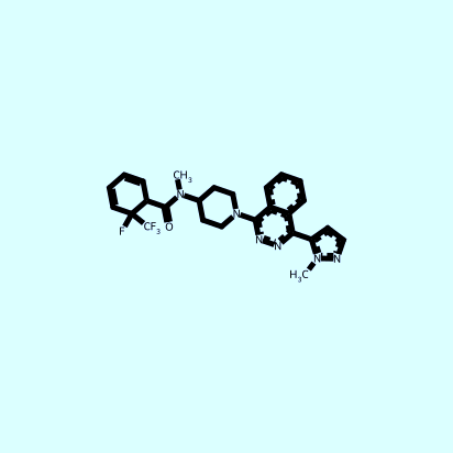 CN(C(=O)C1C=CC=CC1(F)C(F)(F)F)C1CCN(c2nnc(-c3ccnn3C)c3ccccc23)CC1